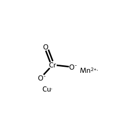 [Cu].[Mn+2].[O]=[Cr]([O-])[O-]